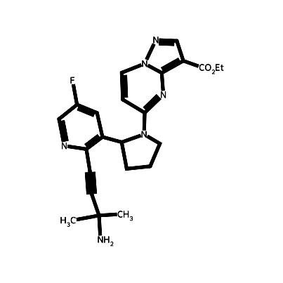 CCOC(=O)c1cnn2ccc(N3CCCC3c3cc(F)cnc3C#CC(C)(C)N)nc12